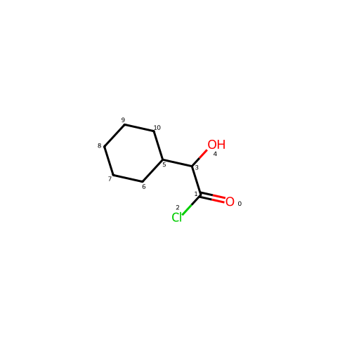 O=C(Cl)C(O)C1CCCCC1